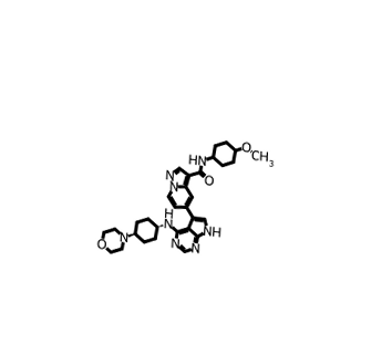 COC1CCC(NC(=O)c2cnn3ccc(-c4c[nH]c5ncnc(N[C@H]6CC[C@H](N7CCOCC7)CC6)c45)cc23)CC1